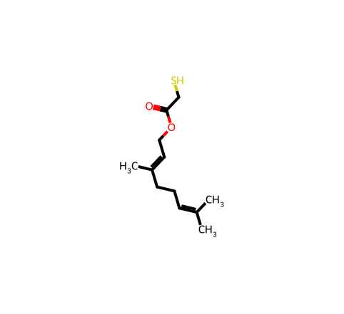 CC(C)=CCCC(C)=CCOC(=O)CS